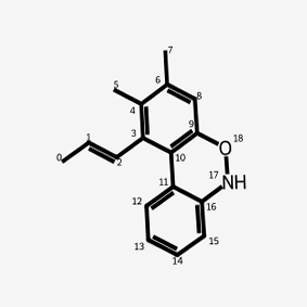 CC=Cc1c(C)c(C)cc2c1-c1ccccc1NO2